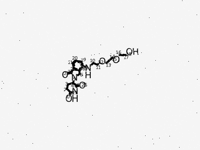 O=C1CCC(N2Cc3c(NCCOCCOCCO)cccc3C2=O)C(=O)N1